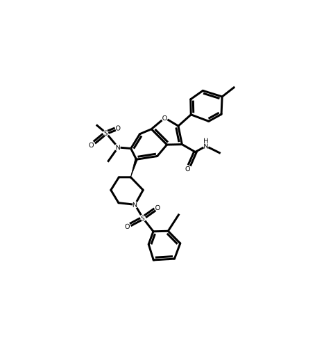 CNC(=O)c1c(-c2ccc(C)cc2)oc2cc(N(C)S(C)(=O)=O)c([C@@H]3CCCN(S(=O)(=O)c4ccccc4C)C3)cc12